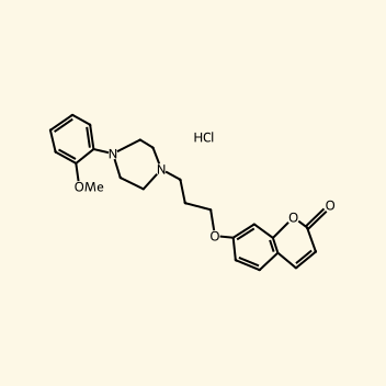 COc1ccccc1N1CCN(CCCOc2ccc3ccc(=O)oc3c2)CC1.Cl